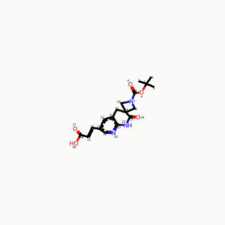 CC(C)(C)OC(=O)N1CC2(Cc3cc(/C=C/C(=O)O)cnc3NC2=O)C1